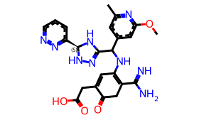 COc1cc(C(NC2=C(C(=N)N)CC(=O)C(CC(=O)O)=C2)C2=NN[C@@H](c3cccnn3)N2)cc(C)n1